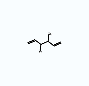 C=C[C](O)C(Cl)C=C